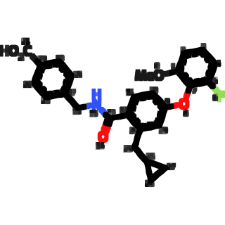 COc1cccc(F)c1Oc1ccc(C(=O)NCc2ccc(C(=O)O)cc2)c(CC2CC2)c1